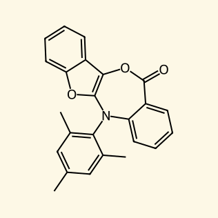 Cc1cc(C)c(N2c3ccccc3C(=O)Oc3c2oc2ccccc32)c(C)c1